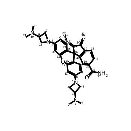 CN(C)C1CN(c2ccc3c(c2)Oc2cc(N4CC(N(C)C)C4)ccc2C32C(=[N+]=[N-])C(=O)c3ccc(C(N)=O)cc32)C1